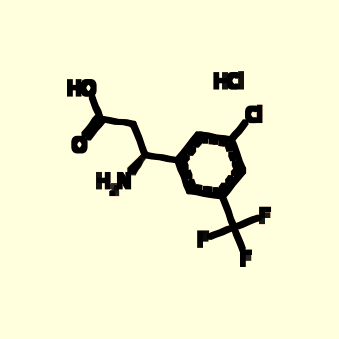 Cl.N[C@@H](CC(=O)O)c1cc(Cl)cc(C(F)(F)F)c1